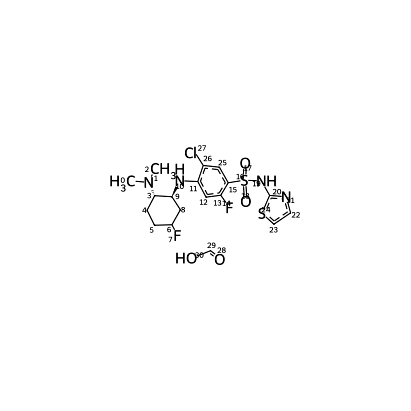 CN(C)[C@H]1CCC(F)C[C@@H]1Nc1cc(F)c(S(=O)(=O)Nc2nccs2)cc1Cl.O=CO